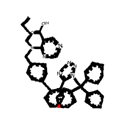 CCCCN(Cc1ccc(-c2ccccc2-c2nnnn2C(c2ccccc2)(c2ccccc2)c2ccccc2)cc1)c1ncncc1C(=O)O